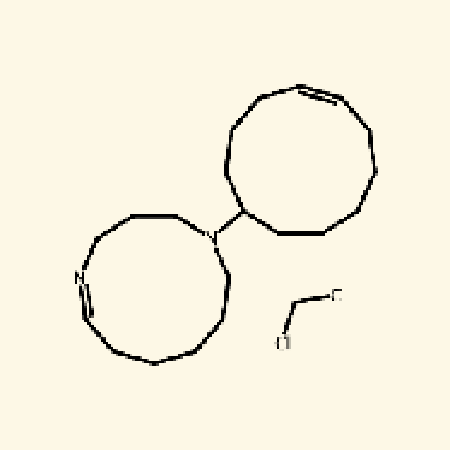 C1=CCCCC(N2CCCCCC=NCCC2)CCCCC1.ClCCl